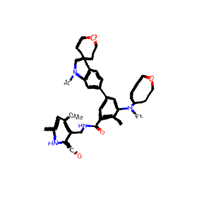 CCN(c1cc(-c2ccc3c(c2)N(C(C)=O)CC32CCOCC2)cc(C(=O)NCC2=C(OC)C=C(C)NC2=C=O)c1C)C1CCOCC1